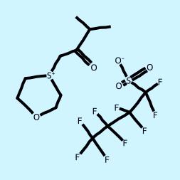 CC(C)C(=O)C[S+]1CCOCC1.O=S(=O)([O-])C(F)(F)C(F)(F)C(F)(F)C(F)(F)F